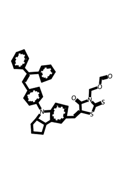 O=COCN1C(=O)/C(=C\c2ccc3c(c2)C2CCCC2N3c2ccc(C=C(c3ccccc3)c3ccccc3)cc2)SC1=S